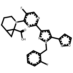 O=C(O)C12CC1CCCN2c1nc(-c2cc(-c3ccon3)n(Cc3ccccc3F)n2)ncc1F